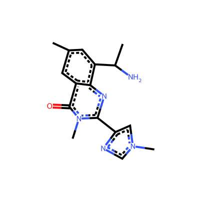 Cc1cc(C(C)N)c2nc(-c3cn(C)cn3)n(C)c(=O)c2c1